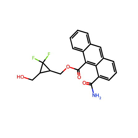 NC(=O)c1cccc2cc3ccccc3c(C(=O)OCC3C(CO)C3(F)F)c12